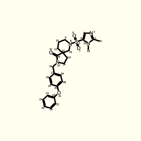 Cc1ncc(S(=O)(=O)N2CCCC3(CCN(Cc4ccc(Oc5ccccc5)cc4)C3=O)C2)n1C